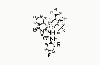 Cn1c(NC(=O)Nc2ccc(F)cc2F)c(-c2cc(C(C)(C)C)c(O)c(C(C)(C)C)c2)c2ccccc2c1=O